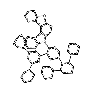 c1ccc(-c2nc(-c3ccccc3)nc(-c3cc(-c4c(-c5ccccc5)cccc4-c4ccccc4)cnc3-n3c4ccccc4c4c5c(ccc43)oc3ccccc35)n2)cc1